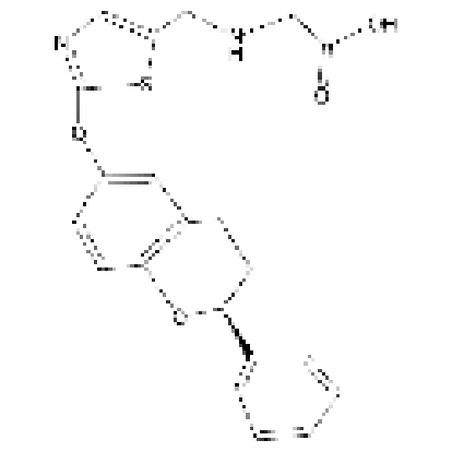 O=C(O)CNCc1cnc(Oc2ccc3c(c2)CC[C@@H](c2ccccc2)O3)s1